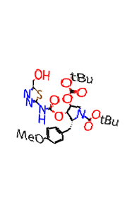 COc1ccc(C[C@@H]2[C@H](OC(=O)Nc3nnc(CO)s3)[C@@H](OC(=O)OC(C)(C)C)CN2C(=O)OC(C)(C)C)cc1